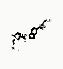 CCc1nc(-c2ccc3c(c2)CC[C@H]3NC(=O)c2ccc(=O)n(CCOC)c2)no1